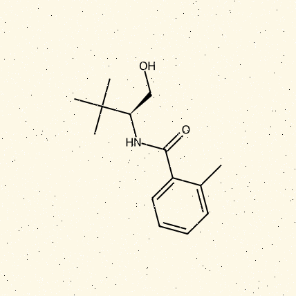 Cc1ccccc1C(=O)N[C@H](CO)C(C)(C)C